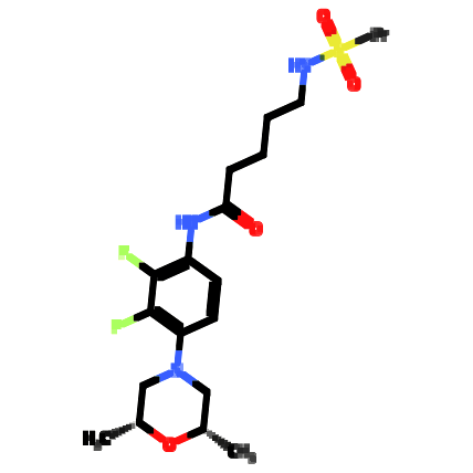 CC(C)S(=O)(=O)NCCCCC(=O)Nc1ccc(N2C[C@@H](C)O[C@@H](C)C2)c(F)c1F